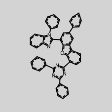 c1ccc(-c2cc(-c3nc4ccccc4n3-c3ccccc3)c3oc4c(-c5nc(-c6ccccc6)nc(-c6ccccc6)n5)cccc4c3c2)cc1